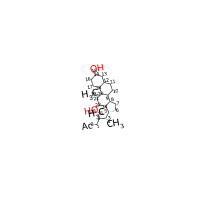 CC(=O)CC[C@@H](C)[C@H]1CCC2C3CCC4C[C@H](O)CC[C@]4(C)C3C[C@H](O)[C@@]21C